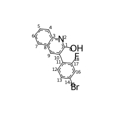 Oc1nc2ccccc2cc1-c1ccc(Br)cc1F